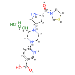 Cl.Cl.Cl.O=C(O)c1ccc(N2CCN([C@@H]3CN[C@H](C(=O)N4CCSC4)C3)CC2)nc1